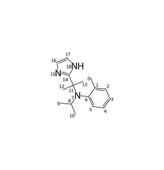 Cc1ccccc1N(C(C)C)C(C)(C)c1ncc[nH]1